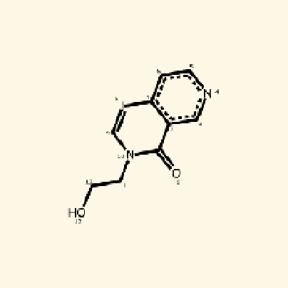 O=C1c2cnccc2I=CN1CCO